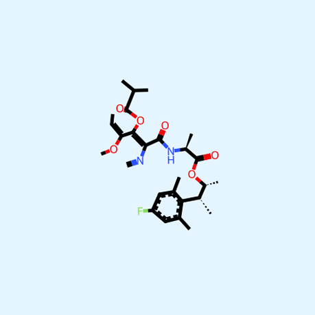 C=N/C(C(=O)N[C@@H](C)C(=O)O[C@H](C)[C@H](C)c1c(C)cc(F)cc1C)=C(OC(=O)C(C)C)\C(=C/C)OC